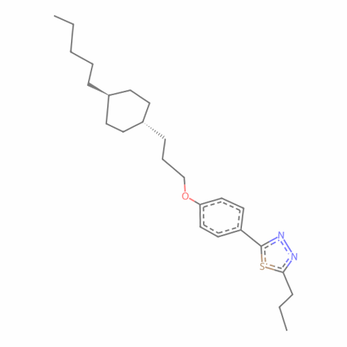 CCCCC[C@H]1CC[C@H](CCCOc2ccc(-c3nnc(CCC)s3)cc2)CC1